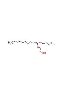 CCCCCCCCCCC(CCCCC)OCCO